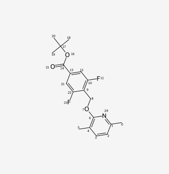 Cc1ccc(C)c(OCc2c(F)cc(C(=O)OC(C)(C)C)cc2F)n1